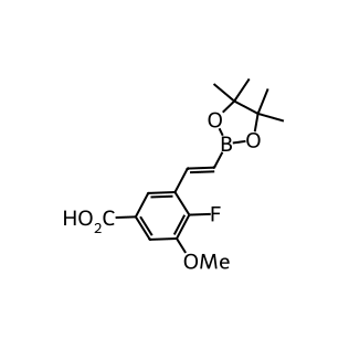 COc1cc(C(=O)O)cc(C=CB2OC(C)(C)C(C)(C)O2)c1F